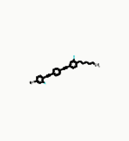 CCCCCCc1ccc(C#Cc2ccc(C#Cc3ccc(C)cc3F)cc2)cc1F